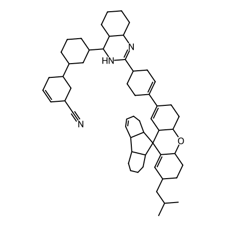 CC(C)CC1C=C2C(CC1)OC1CCC(C3=CCC(C4=NC5CCCCC5C(C5CCCC(C6CC=CC(C#N)C6)C5)N4)CC3)=CC1C21C2CCC=CC2C2CCCCC21